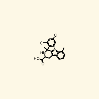 Cc1cccc2c3c([nH]c12)C(C)(c1ccc(Cl)cc1Cl)NC(C(=O)O)C3